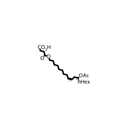 CCCCCC[C@@H](C/C=C\CCCCCCCCOC(=O)CCC(=O)O)OC(C)=O